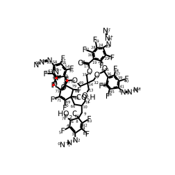 [N-]=[N+]=NC1=C(F)C(F)C(CC(COCC(COC(=O)c2c(F)c(F)c(N=[N+]=[N-])c(F)c2F)(COC(=O)c2c(F)c(F)c(N=[N+]=[N-])c(F)c2F)COC(=O)c2c(F)c(F)c(N=[N+]=[N-])c(F)c2F)CC2(C(=O)O)C(F)=C(F)C(N=[N+]=[N-])=C(F)C2F)(C(=O)O)C(F)=C1F